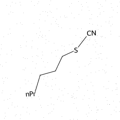 CCCCCCSC#N